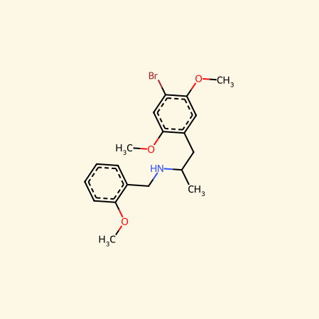 COc1cc(CC(C)NCc2ccccc2OC)c(OC)cc1Br